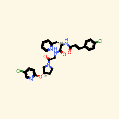 O=C(C=Cc1ccc(Cl)cc1)N[C@@H](Cc1ccccn1)C(=O)NCC(=O)N1CC[C@H](Oc2ccc(Cl)cn2)C1